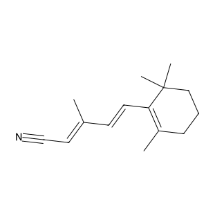 CC1=C(/C=C/C(C)=C/C#N)C(C)(C)CCC1